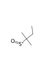 CCC(C)(C)[S+]=O